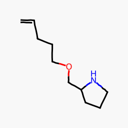 C=CCCCOCC1CCCN1